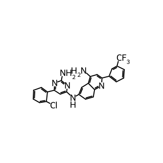 Nc1nc(Nc2ccc3nc(-c4cccc(C(F)(F)F)c4)cc(N)c3c2)cc(-c2ccccc2Cl)n1